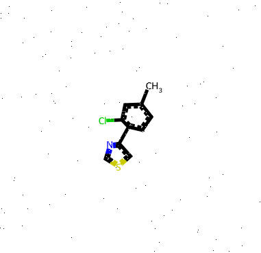 Cc1ccc(-c2cscn2)c(Cl)c1